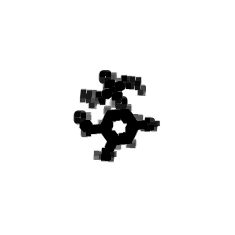 NS(N)(=O)=O.O=Ic1ccc(Br)cc1Br